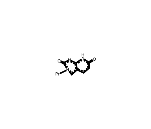 CC(C)n1cc2ccc(=O)[nH]c2nc1=O